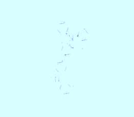 CN(c1ccccc1)c1ccc(-c2ccc3c(c2)Cc2ccccc2N3c2ccccc2)cc1